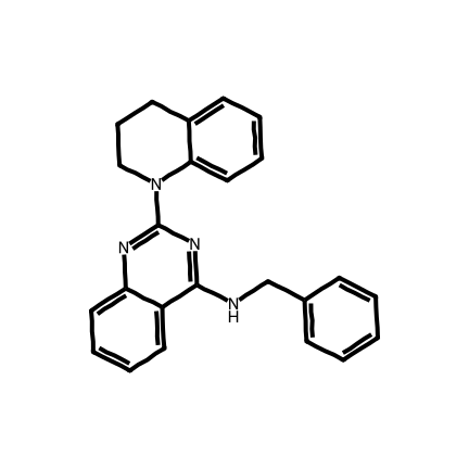 c1ccc(CNc2nc(N3CCCc4ccccc43)nc3ccccc23)cc1